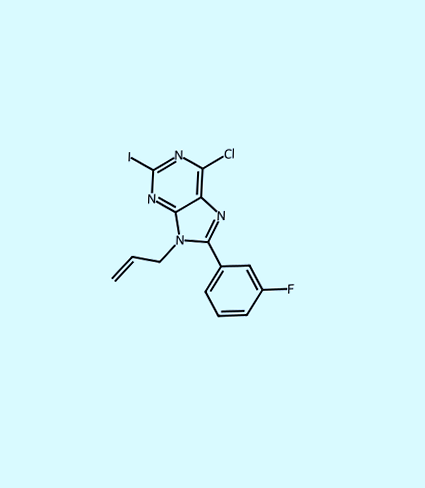 C=CCn1c(-c2cccc(F)c2)nc2c(Cl)nc(I)nc21